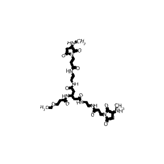 CCOCCC(=O)NC(CC(=O)NCCNC(=O)CCN1C(=O)CC(NC)C1=O)CC(=O)NCCNC(=O)CCN1C(=O)CC(NC)C1=O